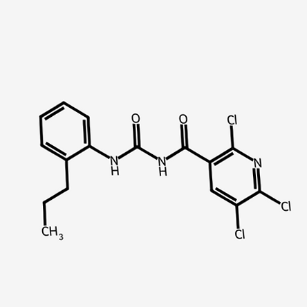 CCCc1ccccc1NC(=O)NC(=O)c1cc(Cl)c(Cl)nc1Cl